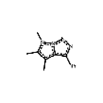 Cc1c(C)n(C)n2nnc(C(C)C)c12